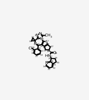 Cc1nnc2n1-c1sc3c(c1C(c1ccccc1Cl)=NC21CC1)C[C@H](C(=O)NC1CCc2cccnc21)C3